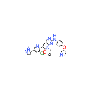 CN1CCC(Oc2ccc(Nc3ncc4cc(-c5ncc(-c6ccnn6C)cc5Cl)c(=O)n(CC5CC5)c4n3)cc2)C1